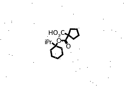 CC(C)C1(OC(=O)C2(C(=O)O)CCCC2)CCCCC1